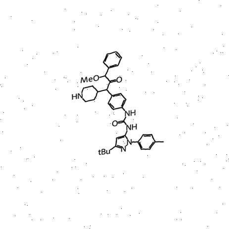 COC(C(=O)C(c1ccc(NC(=O)Nc2cc(C(C)(C)C)nn2-c2ccc(C)cc2)cc1)C1CCNCC1)c1ccccc1